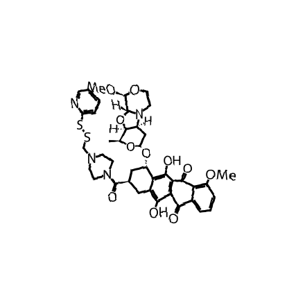 COc1cccc2c1C(=O)c1c(O)c3c(c(O)c1C2=O)C[C@@H](C(=O)N1CCN(CSSc2ccccn2)CC1)C[C@@H]3O[C@H]1C[C@H]2[C@H](O[C@@H]3[C@@H](OC)OCCN32)[C@H](C)O1